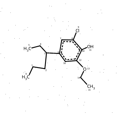 CCCC(CC)c1cc(Cl)c(O)c(OCC)c1